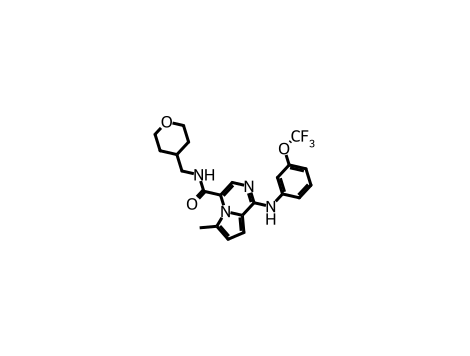 Cc1ccc2c(Nc3cccc(OC(F)(F)F)c3)ncc(C(=O)NCC3CCOCC3)n12